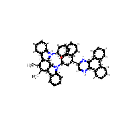 Cc1c(C)c2c3ccccc3n(-c3cc(-c4cnc5c6ccccc6c6ccccc6c5n4)c4ccccc4c3)c2c2c1c1ccccc1n2-c1ccccc1